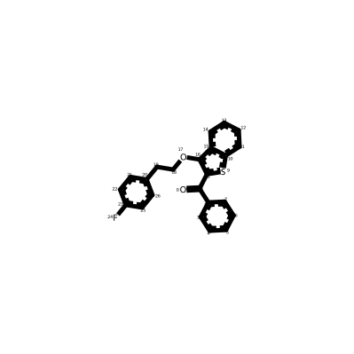 O=C(c1ccccc1)c1sc2ccccc2c1OCCc1ccc(F)cc1